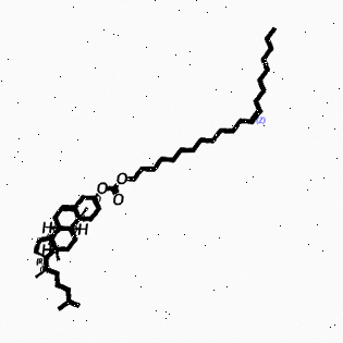 CCCCCCCC/C=C\CCCCCCCCCCCCOC(=O)O[C@H]1CC[C@@]2(C)C(=CC[C@H]3[C@@H]4CC[C@H]([C@H](C)CCCC(C)C)[C@@]4(C)CC[C@@H]32)C1